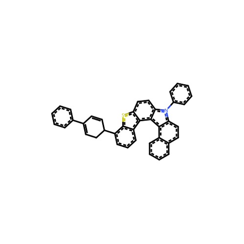 C1=CC(c2cccc3c2sc2ccc4c(c23)c2c3ccccc3ccc2n4-c2ccccc2)CC=C1c1ccccc1